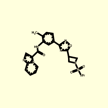 CCCS(=O)(=O)N1CC(c2nc(-c3ccc(C)c(NC(=O)c4cnc5ccccn45)c3)no2)C1